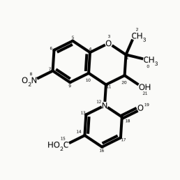 CC1(C)Oc2ccc([N+](=O)[O-])cc2C(n2cc(C(=O)O)ccc2=O)C1O